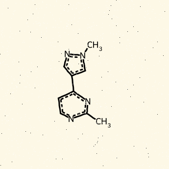 Cc1nccc(-c2cnn(C)c2)n1